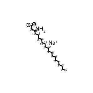 CCCCCCCCCCCCCCCCCCC(N)CC(=O)[O-].[Na+]